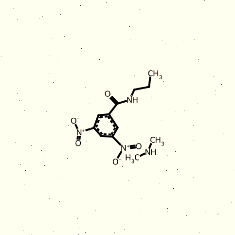 CCCNC(=O)c1cc([N+](=O)[O-])cc([N+](=O)[O-])c1.CNC